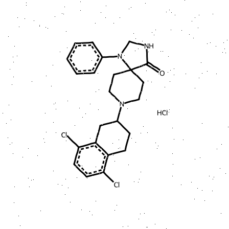 Cl.O=C1NCN(c2ccccc2)C12CCN(C1CCc3c(Cl)ccc(Cl)c3C1)CC2